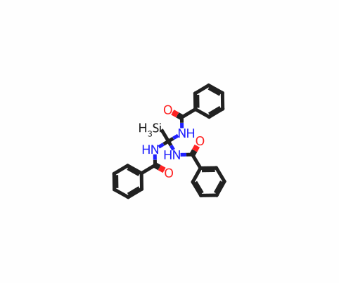 O=C(NC([SiH3])(NC(=O)c1ccccc1)NC(=O)c1ccccc1)c1ccccc1